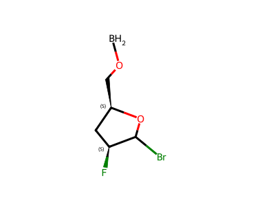 BOC[C@@H]1C[C@H](F)C(Br)O1